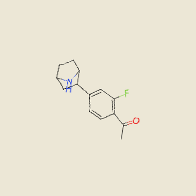 CC(=O)c1ccc(C2CC3CCC2N3)cc1F